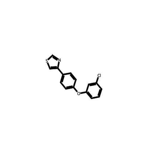 Clc1cccc(Oc2ccc(-c3cs[c]n3)cc2)c1